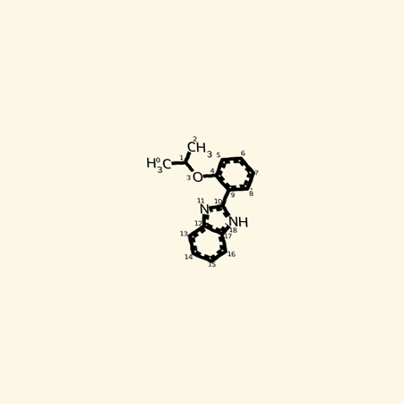 CC(C)Oc1ccc[c]c1-c1nc2ccccc2[nH]1